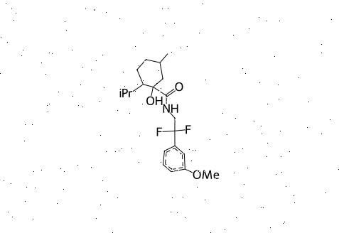 COc1cccc(C(F)(F)CNC(=O)C2(O)CC(C)CCC2C(C)C)c1